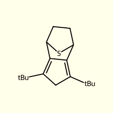 CC(C)(C)C1=C2C(=C(C(C)(C)C)C1)C1CCC2S1